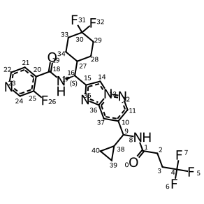 O=C(CCC(F)(F)F)NC(c1cnn2cc([C@@H](NC(=O)c3ccncc3F)C3CCC(F)(F)CC3)nc2c1)C1CC1